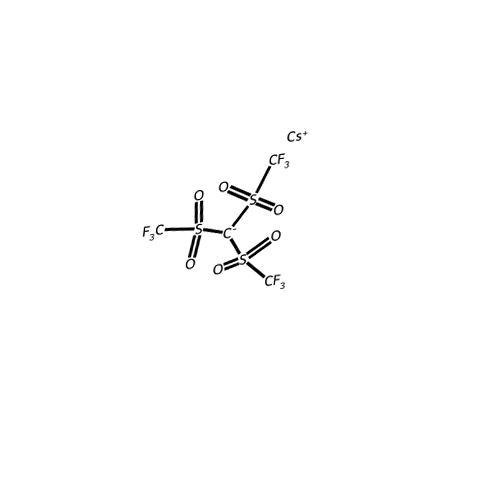 O=S(=O)([C-](S(=O)(=O)C(F)(F)F)S(=O)(=O)C(F)(F)F)C(F)(F)F.[Cs+]